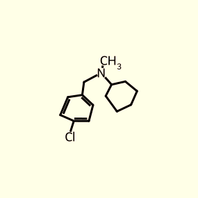 CN(Cc1ccc(Cl)cc1)C1CCCCC1